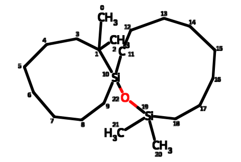 CC1(C)CCCCCCC[Si]12CCCCCCCC[Si](C)(C)O2